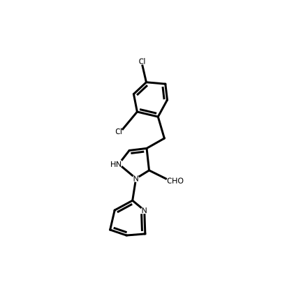 O=CC1C(Cc2ccc(Cl)cc2Cl)=CNN1c1ccccn1